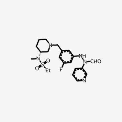 CCS(=O)(=O)N(C)[C@@H]1CCCN(Cc2cc(F)cc(NN(C=O)c3cccnc3)c2)C1